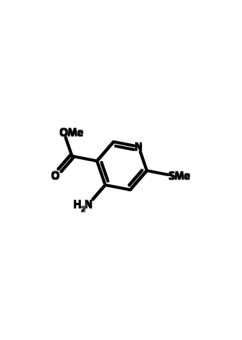 COC(=O)c1cnc(SC)cc1N